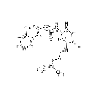 CN(C)CCCNC1NC(NC(=O)Nc2ccc3ccccc3c2)NCC1F